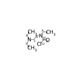 CCN(CC)CCN(CC)C(=O)Cl